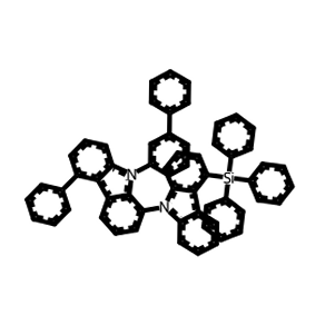 c1ccc(-c2cccc(-n3c4cccc(-c5ccccc5)c4c4cccc(-n5c6ccccc6c6c([Si](c7ccccc7)(c7ccccc7)c7ccccc7)cccc65)c43)c2)cc1